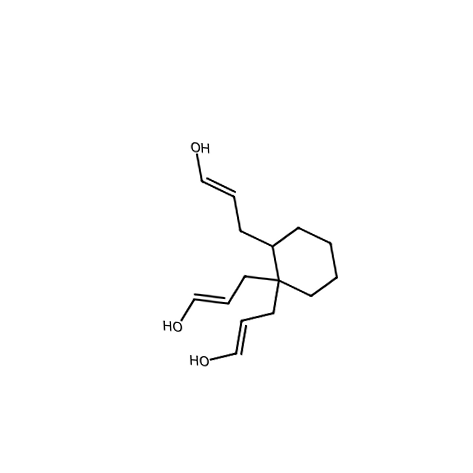 OC=CCC1CCCCC1(CC=CO)CC=CO